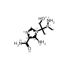 CN(N)C(C)(CO)n1cnc(C(N)=O)c1N